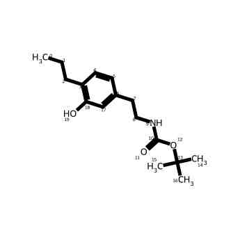 CCCc1ccc(CCNC(=O)OC(C)(C)C)cc1O